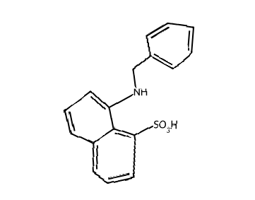 O=S(=O)(O)c1cccc2cccc(NCc3ccccc3)c12